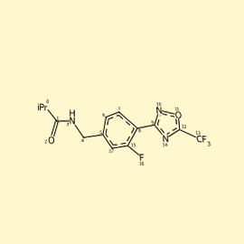 CC(C)C(=O)NCc1ccc(-c2noc(C(F)(F)F)n2)c(F)c1